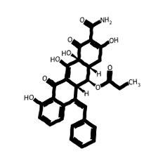 CCC(=O)O[C@@H]1[C@H]2CC(O)=C(C(N)=O)C(=O)[C@@]2(O)C(O)=C2C(=O)c3c(O)cccc3/C(=C\c3ccccc3)[C@H]21